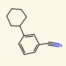 N#Cc1cc[c]c(C2CCCCC2)c1